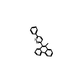 Cc1c(-c2ccc(-c3ccccc3)nn2)c2ccccc2c2ccccc12